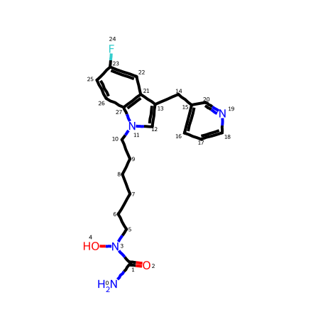 NC(=O)N(O)CCCCCCn1cc(Cc2cccnc2)c2cc(F)ccc21